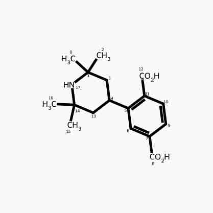 CC1(C)CC(c2cc(C(=O)O)ccc2C(=O)O)CC(C)(C)N1